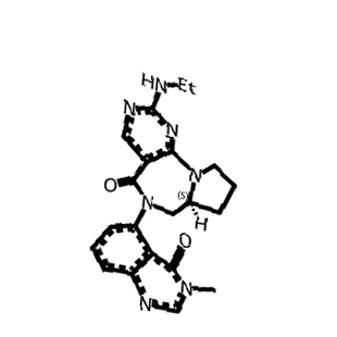 CCNc1ncc2c(n1)N1CCC[C@H]1CN(c1cccc3ncn(C)c(=O)c13)C2=O